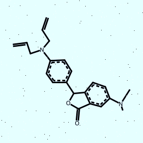 C=CCN(CC=C)c1ccc(C2OC(=O)c3cc(N(C)C)ccc32)cc1